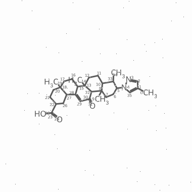 Cc1cnn(C2CCC3(C)C(CCC4(C)C5CCC6(C)CCC(C(=O)O)CC6C5=CC(=O)C43)C2C)c1